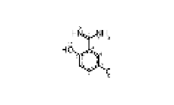 N=C(N)c1cc(Cl)ccc1O